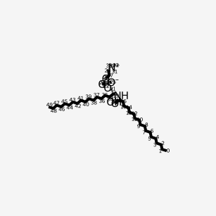 CCCCCCCCCCCCCCCCCC(=O)N[C@@H](COP(=O)([O-])OCC[N+](C)(C)C)[C@H](O)CCCCCCCCCCCCCCC